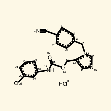 Cl.N#Cc1ccc(Cn2cncc2COC(=O)Nc2cccc(Cl)c2)cc1